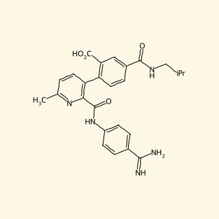 Cc1ccc(-c2ccc(C(=O)NCC(C)C)cc2C(=O)O)c(C(=O)Nc2ccc(C(=N)N)cc2)n1